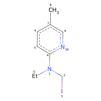 CCN(CI)c1ccc(C)cn1